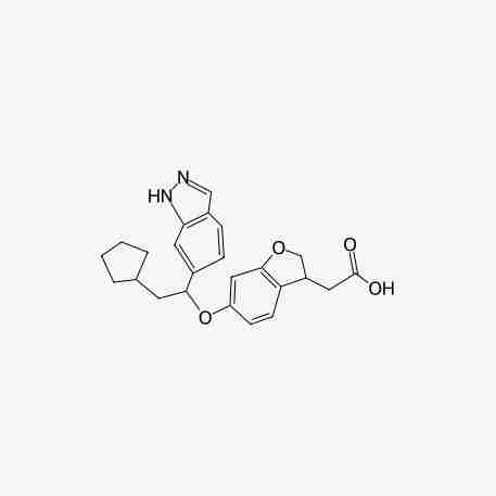 O=C(O)CC1COc2cc(OC(CC3CCCC3)c3ccc4cn[nH]c4c3)ccc21